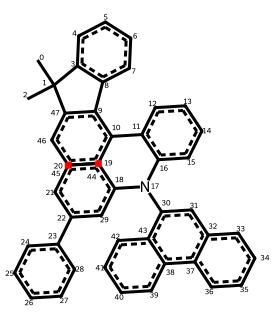 CC1(C)c2ccccc2-c2c(-c3ccccc3N(c3cccc(-c4ccccc4)c3)c3cc4ccccc4c4ccccc34)cccc21